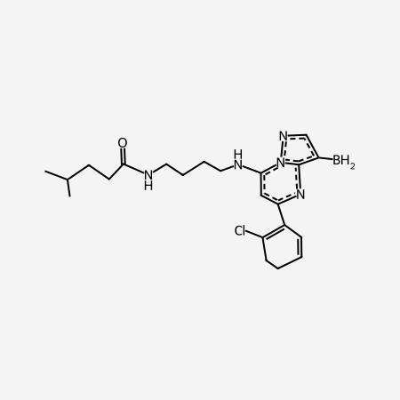 Bc1cnn2c(NCCCCNC(=O)CCC(C)C)cc(C3=C(Cl)CCC=C3)nc12